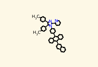 Cc1ccc(-c2nc(-c3ccccn3)n(-c3ccc(-c4c5ccccc5c(-c5ccc6ccccc6c5)c5ccccc45)cc3)c2-c2ccc(C)cc2)cc1